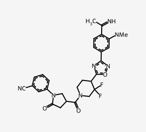 CNc1cc(-c2noc(C3CCN(C(=O)C4CC(=O)N(c5cccc(C#N)c5)C4)CC3(F)F)n2)ccc1C(C)=N